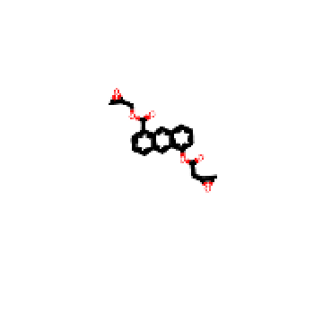 O=C(CC1CO1)Oc1cccc2cc3c(C(=O)OCC4CO4)cccc3cc12